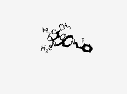 CC(C)C1OC2(CCN(CCc3ccccc3F)CC2)CN(C)C1=O